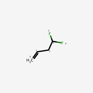 C=CCC(F)F